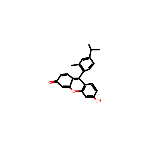 Cc1cc(C(C)C)ccc1-c1c2ccc(=O)cc-2oc2cc(O)ccc12